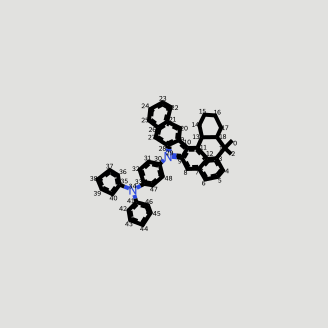 CC1(C)c2cccc3cc4c(c(c23)C2CCCCC21)c1cc2ccccc2cc1n4-c1ccc(N(c2ccccc2)c2ccccc2)cc1